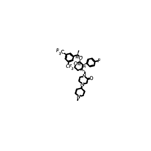 C[C@@H](O[C@H]1OCC[C@@H](CN2CCN(C3CCN(C)CC3)CC2=O)[C@@H]1c1ccc(F)cc1)c1cc(C(F)(F)F)cc(C(F)(F)F)c1